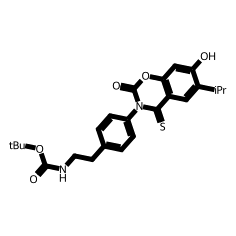 CC(C)c1cc2c(=S)n(-c3ccc(CCNC(=O)OC(C)(C)C)cc3)c(=O)oc2cc1O